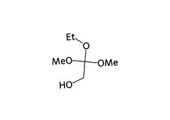 CCOC(CO)(OC)OC